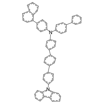 c1ccc(-c2ccc(N(c3ccc(-c4ccc(-c5ccc(-n6c7ccccc7c7ccccc76)cc5)cc4)cc3)c3ccc(-c4cccc5ccccc45)cc3)cc2)cc1